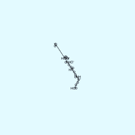 CC(C)(C)OC(=O)CCCCCCCCCCCCCCC(=O)N[C@@H](CCC(=O)NCCOCCOCC(=O)NCCOCCOCC(=O)NCC[N+](C)(C)CCOCCOCCC(=O)O)C(=O)OC(C)(C)C.[Cl-]